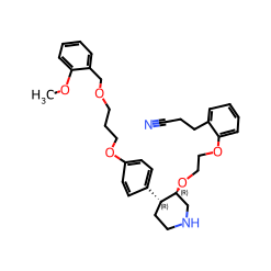 COc1ccccc1COCCCOc1ccc([C@H]2CCNC[C@@H]2OCCOc2ccccc2CCC#N)cc1